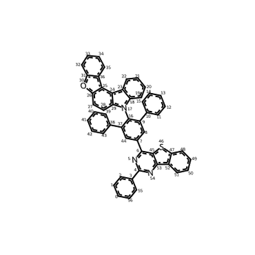 c1ccc(-c2nc(-c3cc(-c4ccccc4)c(-n4c5ccccc5c5c6c(ccc54)oc4ccccc46)c(-c4ccccc4)c3)c3sc4ccccc4c3n2)cc1